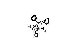 CN(C)[CH]([V+3][C]1=CC=CC1)c1ccccc1.[Cl-].[Cl-].[Cl-]